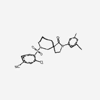 Cc1cc(C)cc(N2CCC3(CCCN(S(=O)(=O)c4ccc(C#N)cc4Cl)C3)C2=O)c1